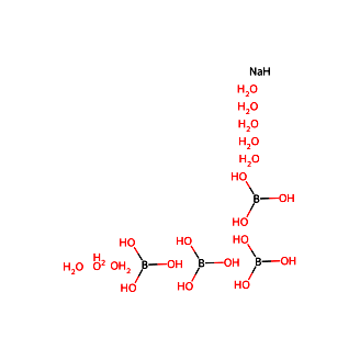 O.O.O.O.O.O.O.O.OB(O)O.OB(O)O.OB(O)O.OB(O)O.[NaH]